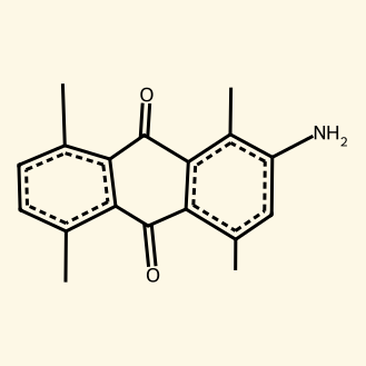 Cc1ccc(C)c2c1C(=O)c1c(C)cc(N)c(C)c1C2=O